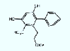 COCCc1c(C(=O)O)c(O)cc(O)c1-c1ccccc1